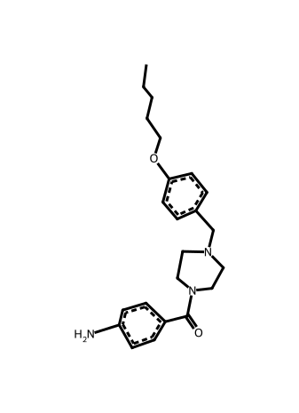 CCCCCOc1ccc(CN2CCN(C(=O)c3ccc(N)cc3)CC2)cc1